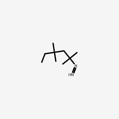 CCC(C)(C)CC(C)(C)N=N